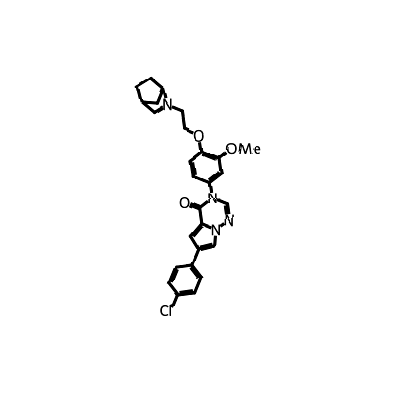 COc1cc(-n2cnn3cc(-c4ccc(Cl)cc4)cc3c2=O)ccc1OCCN1CC2CCC1C2